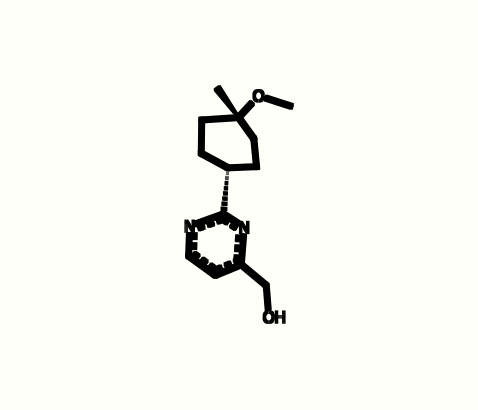 CO[C@]1(C)CC[C@H](c2nccc(CO)n2)CC1